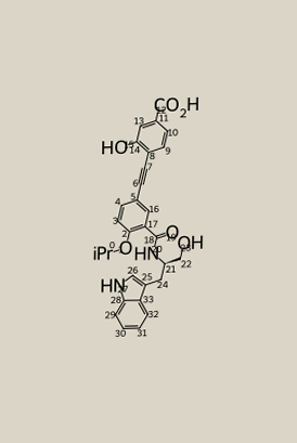 CC(C)Oc1ccc(C#Cc2ccc(C(=O)O)cc2O)cc1C(=O)N[C@@H](CO)Cc1c[nH]c2ccccc12